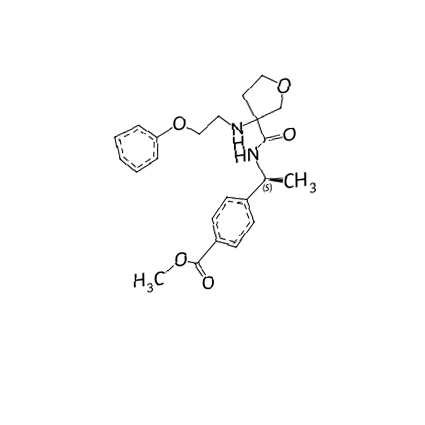 COC(=O)c1ccc([C@H](C)NC(=O)C2(NCCOc3ccccc3)CCOC2)cc1